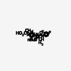 CCCCOc1c(C)c(C(=O)Nc2ccc(F)cc2F)nn1-c1ccc(SC(C)(C)C(=O)O)cc1